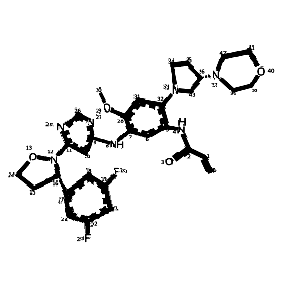 C=CC(=O)Nc1cc(Nc2cc(N3OCC[C@@H]3c3cc(F)cc(F)c3)ncn2)c(OC)cc1N1CC[C@H](N2CCOCC2)C1